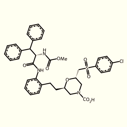 COC(=O)N[C@H](C(=O)Nc1ccccc1CC[C@@H]1CN(C(=O)O)C[C@@H](CS(=O)(=O)c2ccc(Cl)cc2)O1)C(c1ccccc1)c1ccccc1